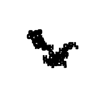 COC(=O)CNC(=O)CNc1cc([Si](F)(C(C)(C)C)C(C)(C)C)n(CCOCCNC(=O)CN2CCN3CCN4CCN(CC2)CC(=O)[O][Ga]([O]C(=O)C3)[O]C(=O)C4)n1